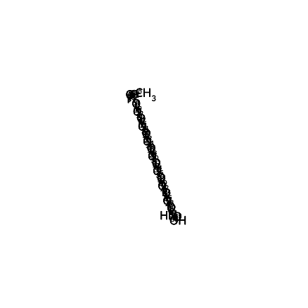 CCOP(=O)(F)CCOCCOCCOCCOCCOCCOCCOCCOCCOCCOCCOCCOCCOCCOCCOCCNC(=O)O